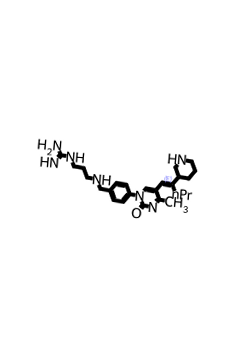 CCC/C(=C\c1cn(-c2ccc(CNCCCNC(=N)N)cc2)c(=O)nc1C)C1CCCNC1